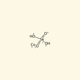 O=[Se](=O)(O)O.[Co]